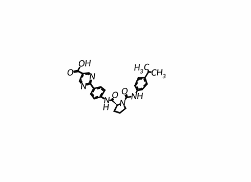 CC(C)c1ccc(NC(=O)N2CCC[C@H]2C(=O)Nc2ccc(-c3ncc(C(=O)O)cn3)cc2)cc1